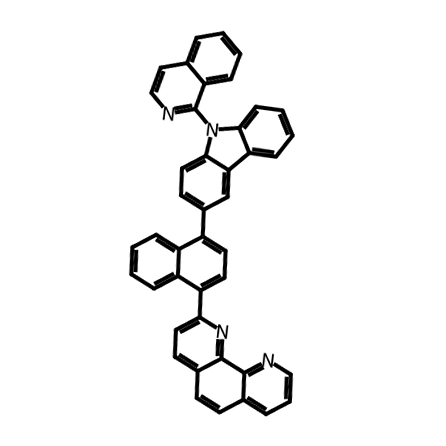 c1ccc2c(-n3c4ccccc4c4cc(-c5ccc(-c6ccc7ccc8cccnc8c7n6)c6ccccc56)ccc43)nccc2c1